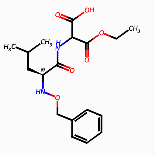 CCOC(=O)C(NC(=O)[C@H](CC(C)C)NOCc1ccccc1)C(=O)O